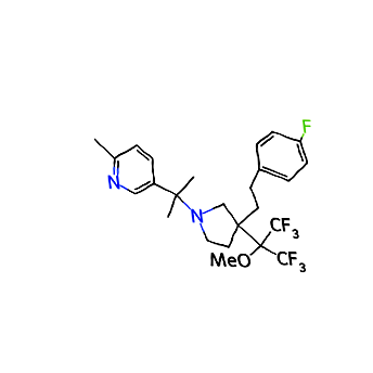 COC(C(F)(F)F)(C(F)(F)F)C1(CCc2ccc(F)cc2)CCN(C(C)(C)c2ccc(C)nc2)C1